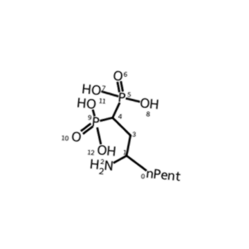 CCCCCC(N)CC(P(=O)(O)O)P(=O)(O)O